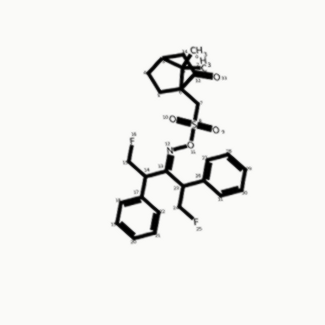 CC1(C)C2CCC1(CS(=O)(=O)ON=C(C(CF)c1ccccc1)C(CF)c1ccccc1)C(=O)C2